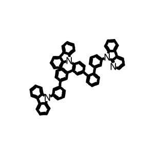 c1cc(-c2cccc(-n3c4ccccc4c4ccccc43)c2)cc(-c2cc(-c3ccccc3-c3cccc(-n4c5ccccc5c5cccnc54)c3)ccc2-n2c3ccccc3c3ccccc32)c1